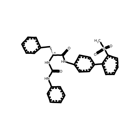 CS(=O)(=O)c1ccccc1-c1ccc(NC(=O)[C@@H](Cc2ccccc2)NC(=O)Nc2ccccc2)cc1